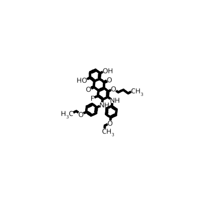 CCCCOc1c(Nc2ccc(OCC)cc2)c(Nc2ccc(OCC)cc2)c(F)c2c1C(=O)c1c(O)ccc(O)c1C2=O